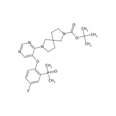 CC(C)(C)OC(=O)N1CCC2(CCN(c3ncncc3Oc3ccc(F)cc3P(C)(C)=O)C2)C1